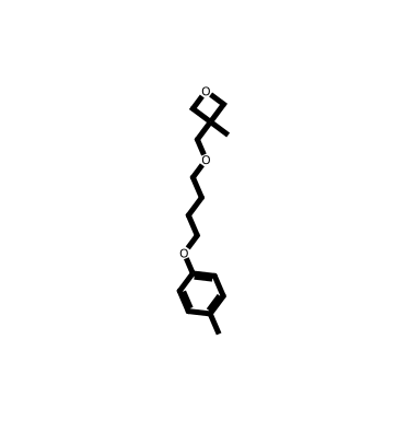 Cc1ccc(OCCCCOCC2(C)COC2)cc1